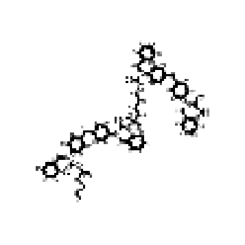 CCOCC(C)OC(=O)N(Cc1ccccc1)c1ccc(Cc2ccc(N(Cc3ccccc3)C(=O)OC(C)(C)CCCCOC(=O)N(Cc3ccccc3)c3ccc(Cc4ccc(N(Cc5ccccc5)C(=O)O)cc4)cc3)cc2)cc1